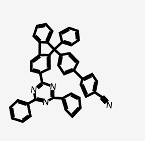 N#Cc1ccc(-c2ccc(C3(c4ccccc4)c4ccccc4-c4ccc(-c5nc(-c6ccccc6)nc(-c6ccccc6)n5)cc43)cc2)cc1